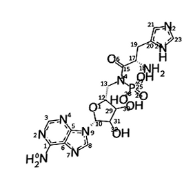 Nc1ncnc2c1ncn2[C@@H]1O[C@H](CN(C(=O)[C@@H](N)Cc2cnc[nH]2)P(=O)(O)O)C(O)C1O